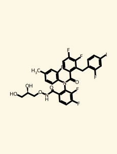 Cc1ccc(N(C(=O)c2ccc(F)c(F)c2Cc2ccc(I)cc2F)c2c(C(=O)NOC[C@H](O)CO)ccc(F)c2F)c(F)c1